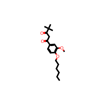 CCCCCCOc1ccc(C(=O)CC(=O)C(C)(C)C)cc1OC